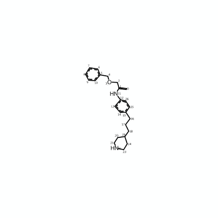 C=C(COCc1ccccc1)Nc1ccc(CCCC2CCNCC2)cc1